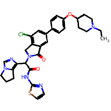 CCN1CCC(Oc2ccc(-c3cc(Cl)c4c(c3)C(=O)N(C(C(=O)Nc3nccs3)c3ncn5c3CCC5)C4)cc2)CC1